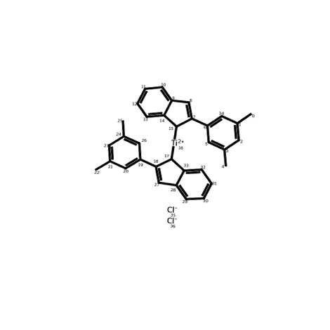 Cc1cc(C)cc(C2=Cc3ccccc3[CH]2[Ti+2][CH]2C(c3cc(C)cc(C)c3)=Cc3ccccc32)c1.[Cl-].[Cl-]